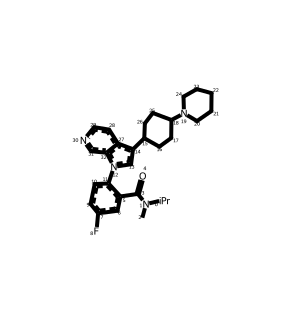 CC(C)N(C)C(=O)c1cc(F)ccc1-n1cc(C2CCC(N3CCCCC3)CC2)c2ccncc21